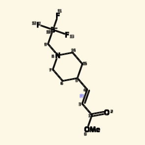 COC(=O)/C=C/C1CCN(C[B-](F)(F)F)CC1